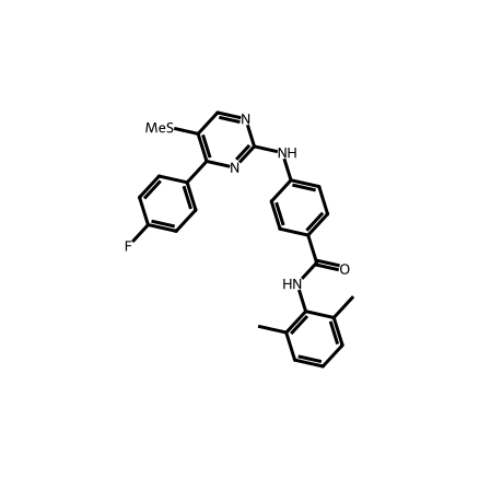 CSc1cnc(Nc2ccc(C(=O)Nc3c(C)cccc3C)cc2)nc1-c1ccc(F)cc1